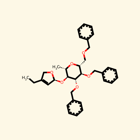 CCC1=C[C@H](O[C@@H]2[C@@H](OCc3ccccc3)[C@H](OCc3ccccc3)[C@@H](COCc3ccccc3)O[C@H]2C)OC1